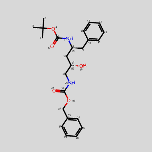 CC(C)(C)OC(=O)N[C@@H](Cc1ccccc1)C[C@H](O)CNC(=O)OCc1ccccc1